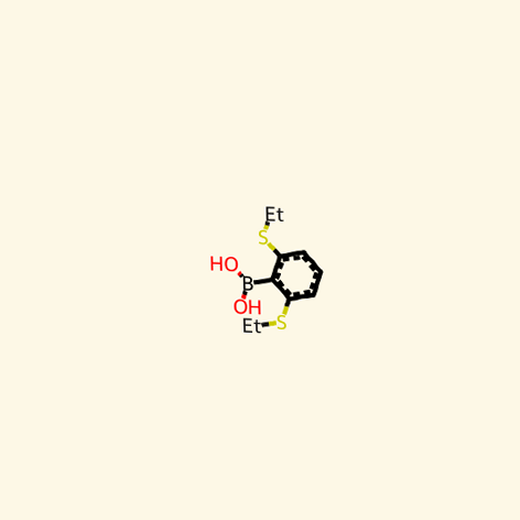 CCSc1cccc(SCC)c1B(O)O